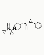 O=C(NC1CC1)N1CCC(CN[C@@H]2C[C@H]2c2ccccc2)CC1